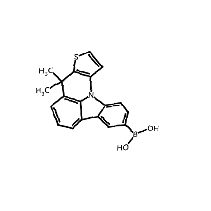 CC1(C)c2sccc2-n2c3ccc(B(O)O)cc3c3cccc1c32